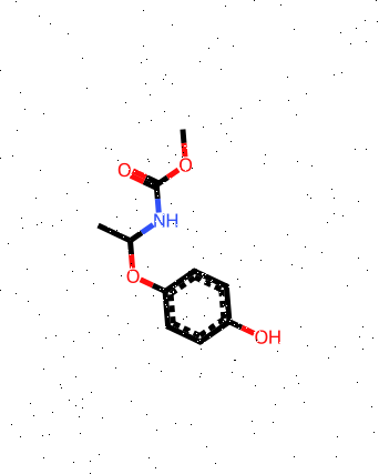 COC(=O)NC(C)Oc1ccc(O)cc1